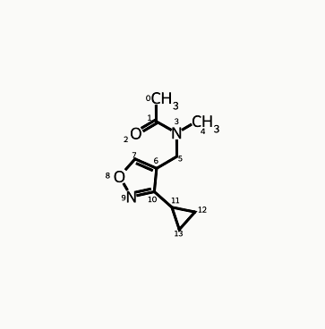 CC(=O)N(C)Cc1conc1C1CC1